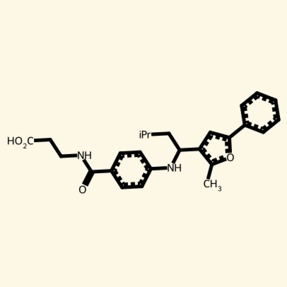 Cc1oc(-c2ccccc2)cc1C(CC(C)C)Nc1ccc(C(=O)NCCC(=O)O)cc1